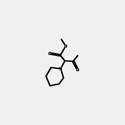 COC(=O)C(C(C)=O)N1CCCCC1